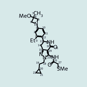 CCc1cc(N2CC(C)(OC)C2)ccc1C1Cc2nn(CCC3CC3)c(NC(=O)CSC)c2C(=O)N1